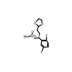 CC(C)(C)[S+]([O-])N[C@@H](CCC1OCCO1)c1cc(F)ccc1F